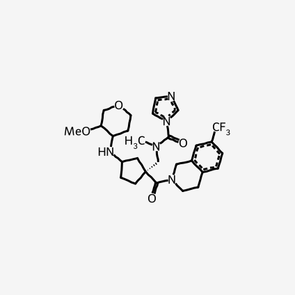 COC1COCCC1NC1CC[C@](CN(C)C(=O)n2ccnc2)(C(=O)N2CCc3ccc(C(F)(F)F)cc3C2)C1